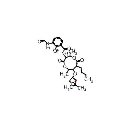 CCCCC1C(=O)OC(C)C(NC(=O)c2cccc(NC=O)c2O)C(=O)OC(C)C1OC1(CC(C)C)COC1